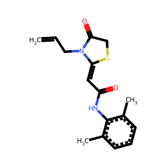 C=CCN1C(=O)CS/C1=C\C(=O)Nc1c(C)cccc1C